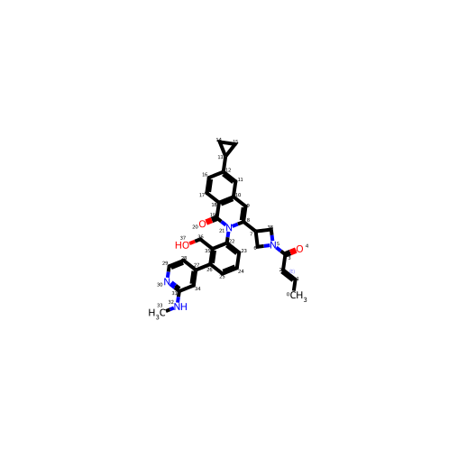 C/C=C/C(=O)N1CC(c2cc3cc(C4CC4)ccc3c(=O)n2-c2cccc(-c3ccnc(NC)c3)c2CO)C1